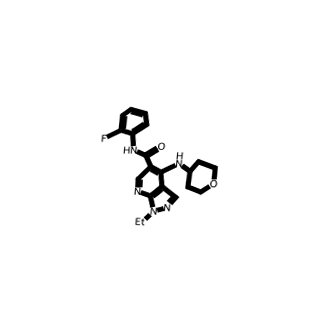 CCn1ncc2c(NC3CCOCC3)c(C(=O)Nc3ccccc3F)cnc21